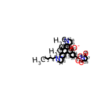 CCCCCC[N+]1=c2cc3c(cc2CCC1)=C(c1ccc(C(=O)ON2C(=O)CCC2=O)cc1C(=O)[O-])c1cc2c(cc1C3(C)C)N(C)CCC2